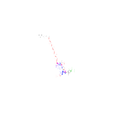 COCCOCCOCCOCCOCCOCCOCCOC(=O)NC(C(=O)Nc1cccc(C(CN2CCC(O)C2)N(C)C(=O)Cc2ccc(Cl)c(Cl)c2)c1)C(C)C